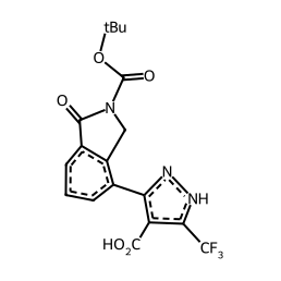 CC(C)(C)OC(=O)N1Cc2c(cccc2-c2n[nH]c(C(F)(F)F)c2C(=O)O)C1=O